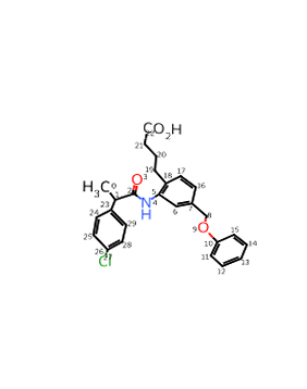 CC(C(=O)Nc1cc(COc2ccccc2)ccc1CCCC(=O)O)c1ccc(Cl)cc1